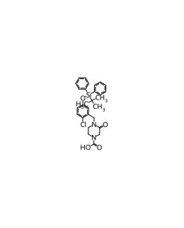 CC(C)(C)[Si](Oc1ccc(Cl)c(CN2CCN(C(=O)O)CC2=O)c1)(c1ccccc1)c1ccccc1